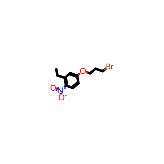 CCc1cc(OCCCBr)ccc1[N+](=O)[O-]